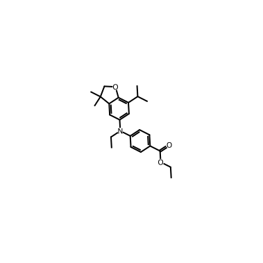 CCOC(=O)c1ccc(N(CC)c2cc(C(C)C)c3c(c2)C(C)(C)CO3)cc1